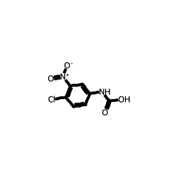 O=C(O)Nc1ccc(Cl)c([N+](=O)[O-])c1